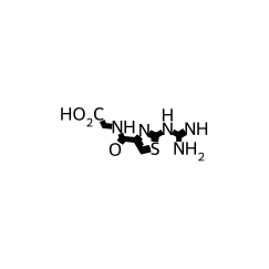 N=C(N)Nc1nc(C(=O)NCC(=O)O)cs1